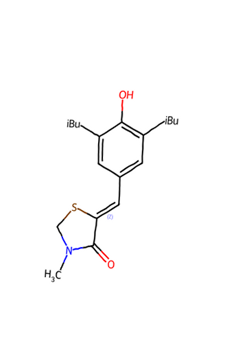 CCC(C)c1cc(/C=C2\SCN(C)C2=O)cc(C(C)CC)c1O